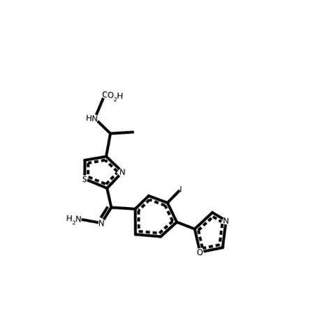 CC(NC(=O)O)c1csc(/C(=N\N)c2ccc(-c3cnco3)c(I)c2)n1